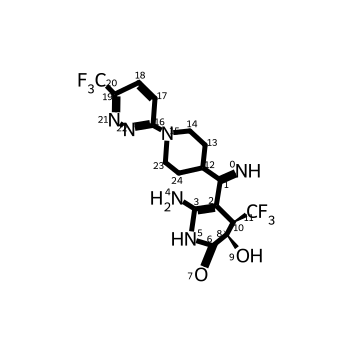 N=C(C1=C(N)NC(=O)[C@H](O)[C@@H]1C(F)(F)F)C1CCN(c2ccc(C(F)(F)F)nn2)CC1